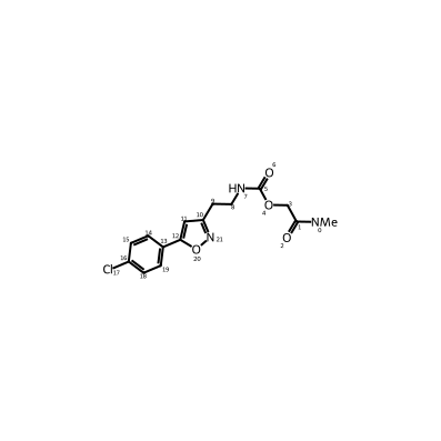 CNC(=O)COC(=O)NCCc1cc(-c2ccc(Cl)cc2)on1